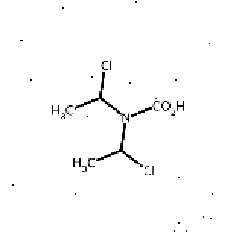 CC(Cl)N(C(=O)O)C(C)Cl